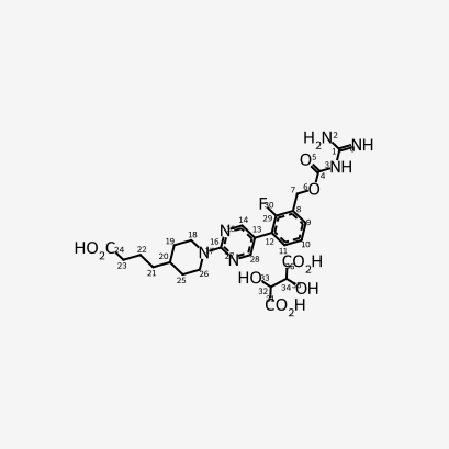 N=C(N)NC(=O)OCc1cccc(-c2cnc(N3CCC(CCCC(=O)O)CC3)nc2)c1F.O=C(O)C(O)C(O)C(=O)O